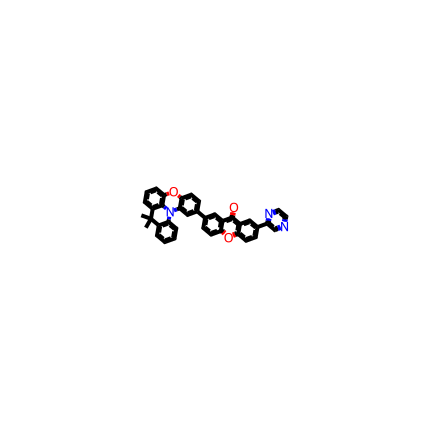 CC1(C)c2ccccc2N2c3cc(-c4ccc5oc6ccc(-c7cnccn7)cc6c(=O)c5c4)ccc3Oc3cccc1c32